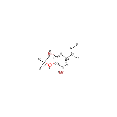 CCC(C)c1cc(Br)c(OC(C)(C)C)c(Br)c1